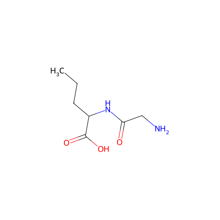 CCCC(NC(=O)CN)C(=O)O